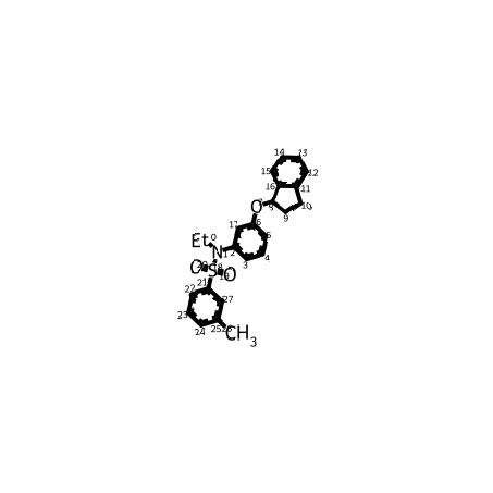 CCN(c1cccc(OC2CCc3ccccc32)c1)S(=O)(=O)c1cccc(C)c1